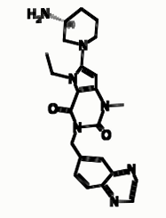 CCn1c(N2CCC[C@@H](N)C2)cc2c1c(=O)n(Cc1ccc3nccnc3c1)c(=O)n2C